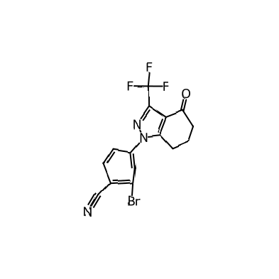 N#Cc1ccc(-n2nc(C(F)(F)F)c3c2CCCC3=O)cc1Br